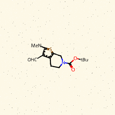 CNc1sc2c(c1C=O)CCN(C(=O)OC(C)(C)C)C2